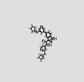 O=C(Nc1ccnc(CN2CCCC2)c1)c1n[nH]c2ccc(-c3cncc(CN4CCCC4)c3)cc12